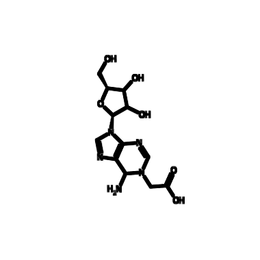 NC1c2ncn([C@H]3O[C@@H](CO)C(O)C3O)c2N=CN1CC(=O)O